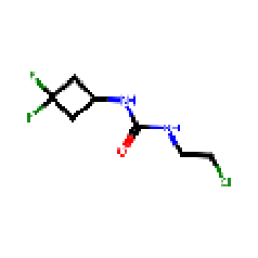 O=C(NCCCl)NC1CC(F)(F)C1